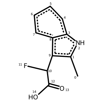 Cc1[nH]c2ccccc2c1C(F)C(=O)O